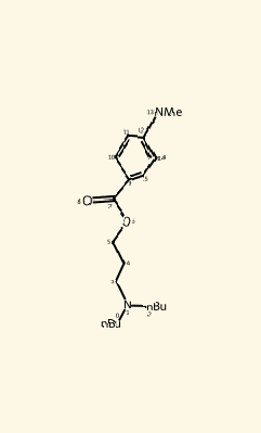 CCCCN(CCCC)CCCOC(=O)c1ccc(NC)cc1